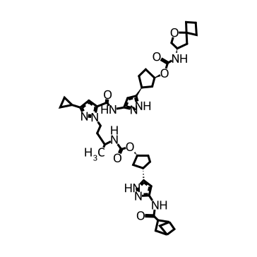 CC(CCn1nc(C2CC2)cc1C(=O)Nc1cc([C@H]2CC[C@@H](OC(=O)N[C@@H]3COC4(CCC4)C3)C2)[nH]n1)NC(=O)O[C@@H]1CC[C@H](c2cc(NC(=O)C3CC4CC3C4)n[nH]2)C1